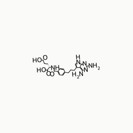 Nc1nc(N)c2c(CCCc3ccc(C(=O)N[C@@H](CCC(=O)O)C(=O)O)cc3)c[nH]c2n1